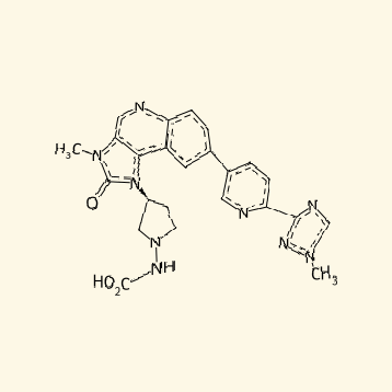 Cn1cnc(-c2ccc(-c3ccc4ncc5c(c4c3)n([C@H]3CCN(NC(=O)O)C3)c(=O)n5C)cn2)n1